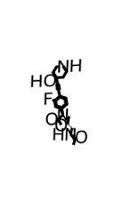 CC(=O)NC[C@H]1CN(c2ccc(C#CC3(O)CCNCC3)c(F)c2)C(=O)O1